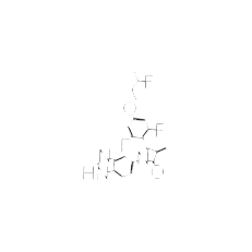 C=C1C(=O)N(c2ccc3[nH]cnc3c2)[C@H]1c1c(F)cc(OCCC(C)F)cc1F